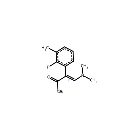 Cc1cccc(/C(=C\N(C)C)C(=O)C(C)(C)C)c1F